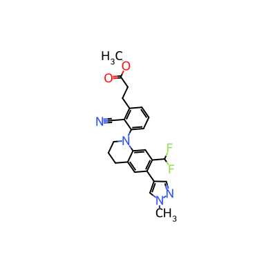 COC(=O)CCc1cccc(N2CCCc3cc(-c4cnn(C)c4)c(C(F)F)cc32)c1C#N